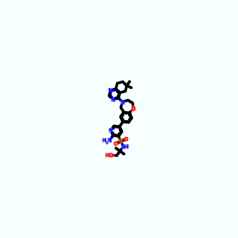 CC1(C)CCc2ncnc(N3CCOc4ccc(-c5cnc(N)c(S(=O)(=O)NC(C)(C)CO)c5)cc4C3)c2C1